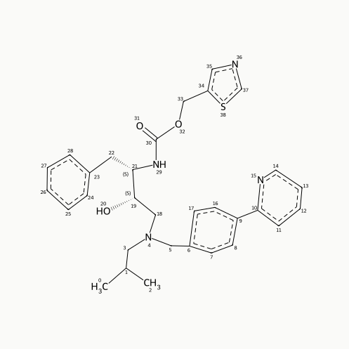 CC(C)CN(Cc1ccc(-c2ccccn2)cc1)C[C@H](O)[C@H](Cc1ccccc1)NC(=O)OCc1cncs1